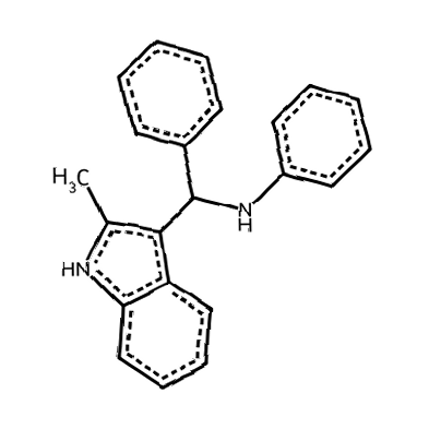 Cc1[nH]c2ccccc2c1C(Nc1ccccc1)c1ccccc1